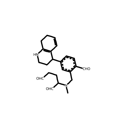 CN(Cc1cc(C2CCNC3=C2C=CCC3)ccc1C=O)C(C=O)CCC=O